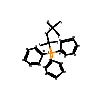 CC(C)(C)CC(C)(C)[PH](c1ccccc1)(c1ccccc1)c1ccccc1